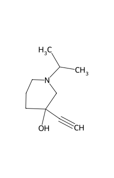 C#CC1(O)CCCN(C(C)C)C1